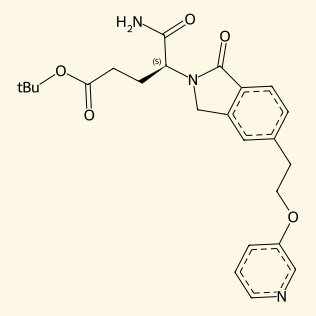 CC(C)(C)OC(=O)CC[C@@H](C(N)=O)N1Cc2cc(CCOc3cccnc3)ccc2C1=O